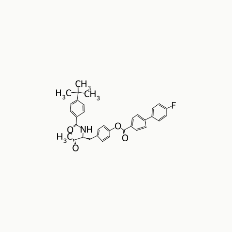 CC(=O)[C@H](Cc1ccc(OC(=O)c2ccc(-c3ccc(F)cc3)cc2)cc1)NC(=O)c1ccc(C(C)(C)C)cc1